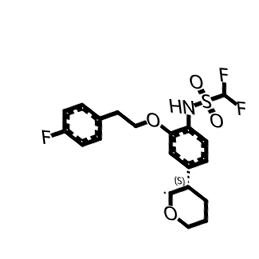 O=S(=O)(Nc1ccc([C@H]2[CH]OCCC2)cc1OCCc1ccc(F)cc1)C(F)F